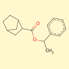 CC(OC(=O)C1CC2CCC1C2)c1ccccc1